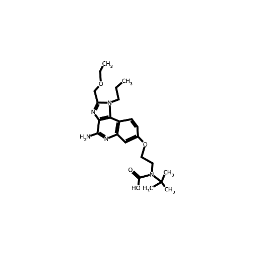 CCCn1c(COCC)nc2c(N)nc3cc(OCCN(C(=O)O)C(C)(C)C)ccc3c21